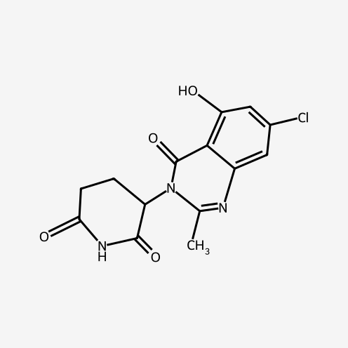 Cc1nc2cc(Cl)cc(O)c2c(=O)n1C1CCC(=O)NC1=O